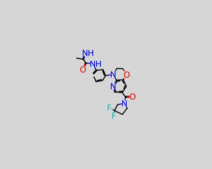 C=C(/C=C(\C=C/C)N1CCOc2cc(C(=O)N3CCC(F)(F)C3)cnc21)NC(=O)C(C)=N